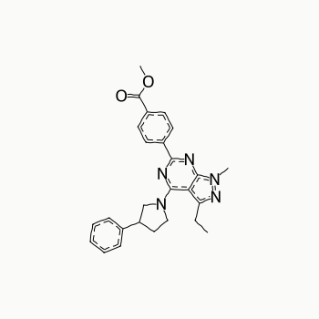 CCc1nn(C)c2nc(-c3ccc(C(=O)OC)cc3)nc(N3CCC(c4ccccc4)C3)c12